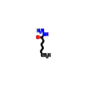 NNC(=O)CCCCC(=O)O